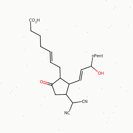 CCCCCC(O)/C=C/C1C(C/C=C/CCCC(=O)O)C(=O)CC1C(C#N)C#N